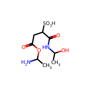 CC(O)NC(=O)C(CC(=O)OC(C)N)S(=O)(=O)O